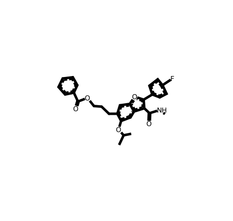 CNC(=O)c1c(-c2ccc(F)cc2)oc2cc(CCCOC(=O)c3ccccc3)c(OC(C)C)cc12